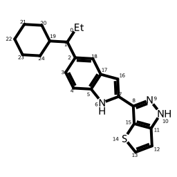 CCC(c1ccc2[nH]c(-c3n[nH]c4ccsc34)cc2c1)C1CCCCC1